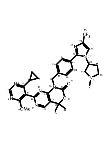 COc1ncnc(C2CC2)c1-c1ncc2c(n1)N(Cc1ccc(-c3nc(C(F)(F)F)cn3C3CCN(C)C3)cc1)C(=O)OC2(C)C